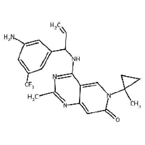 C=CC(Nc1nc(C)nc2cc(=O)n(C3(C)CC3)cc12)c1cc(N)cc(C(F)(F)F)c1